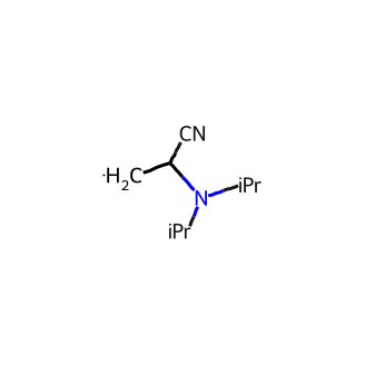 [CH2]C(C#N)N(C(C)C)C(C)C